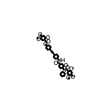 COc1cc(OC)c(C(=O)Oc2ccc(C#Cc3ccc(NC(=O)c4ccc(N(C(=O)c5cc(OC)c(OC)cc5OC)c5ccccc5)c(OC)c4)cc3)cc2)cc1OC